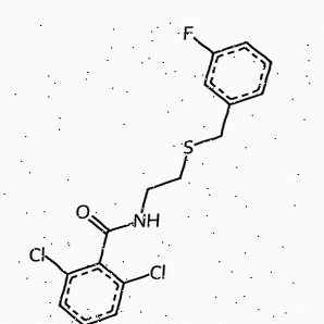 O=C(NCCSCc1cccc(F)c1)c1c(Cl)cccc1Cl